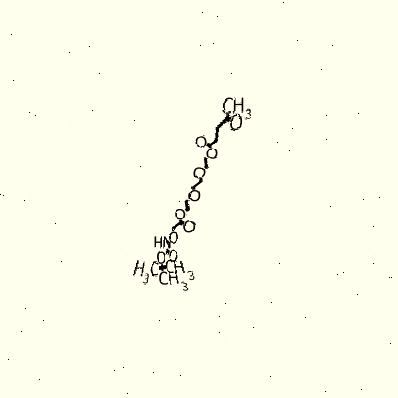 CC(=O)CCC(=O)OCCOCCOCCOC(=O)CONC(=O)OC(C)(C)C